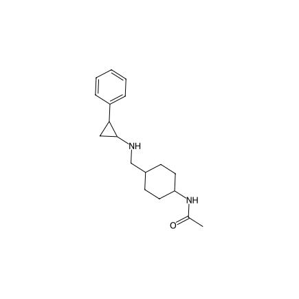 CC(=O)NC1CCC(CNC2CC2c2ccccc2)CC1